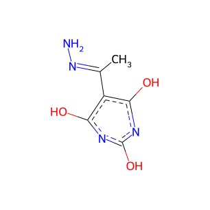 CC(=NN)c1c(O)nc(O)nc1O